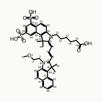 COCC[N+]1=C(/C=C/C=C2/N(CCCCCC(=O)O)c3ccc4c(S(=O)(=O)O)cc(S(=O)(=O)O)cc4c3C2(C)C)C(C)(C)c2c1ccc1ccccc21